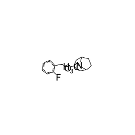 CN1C2CCC1CC(OCc1ccccc1F)C2